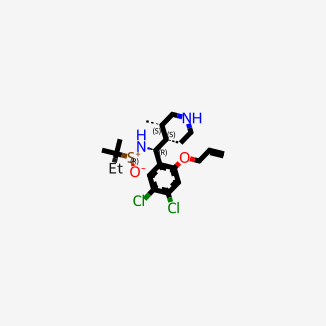 C=CCOc1cc(Cl)c(Cl)cc1[C@H](N[S@@+]([O-])C(C)(C)CC)[C@H]1CCNC[C@H]1C